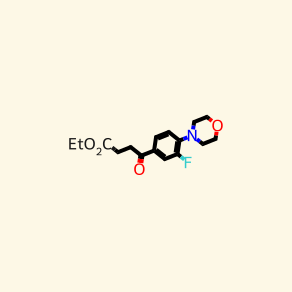 CCOC(=O)CCC(=O)c1ccc(N2CCOCC2)c(F)c1